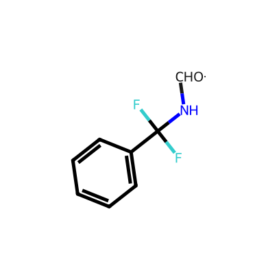 O=[C]NC(F)(F)c1ccccc1